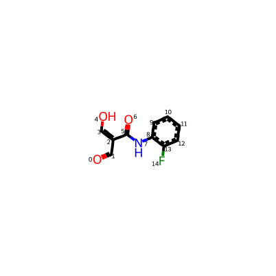 O=C/C(=C/O)C(=O)Nc1ccccc1F